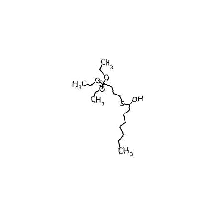 CCCCCCCC(O)SCCC[Si](OCC)(OCC)OCC